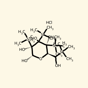 C[Si](C)(C)C(O)[C@H]1O[C@H](O)[C@@](O)([Si](C)(C)C)[C@](O)([Si](C)(C)C)[C@@]1(O)[Si](C)(C)C.Cl